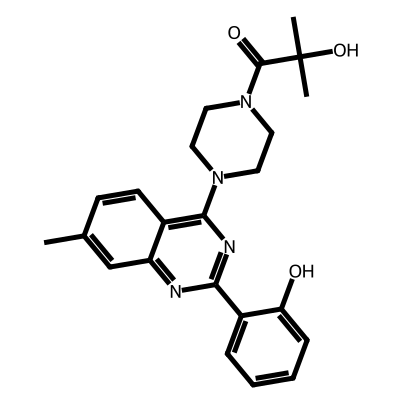 Cc1ccc2c(N3CCN(C(=O)C(C)(C)O)CC3)nc(-c3ccccc3O)nc2c1